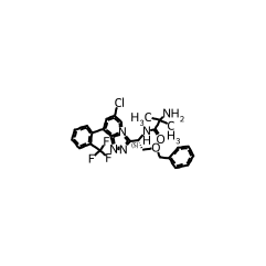 CC(C)(N)C(=O)N[C@H](COCc1ccccc1)c1nnc2c(-c3ccccc3C(F)(F)F)cc(Cl)cn12